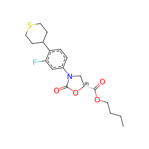 CCCCOC(=O)[C@H]1CN(c2ccc(C3CCSCC3)c(F)c2)C(=O)O1